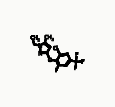 CCn1nc(Oc2c(F)cc(C(F)(F)F)cc2Cl)cc1C